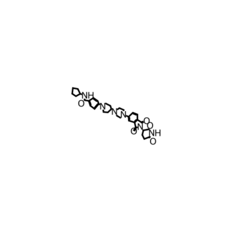 O=C1CCC(N2C(=O)c3ccc(N4CCN(C5CCN(c6ccc(C(=O)NC7CCCC7)cc6)CC5)CC4)cc3C2=O)C(=O)N1